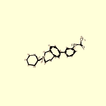 O=C(Nc1cccc(-c2ccc3c(c2)CCN(C2CCCCC2)C3)c1)C(F)(F)F